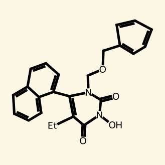 CCc1c(-c2cccc3ccccc23)n(COCc2ccccc2)c(=O)n(O)c1=O